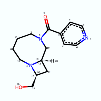 O=C(c1ccncc1)N1CCCCN2[C@H](CO)C[C@@H]2C1